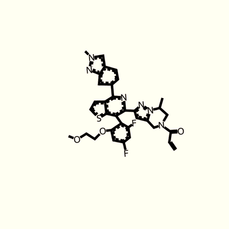 C=CC(=O)N1Cc2cc(-c3nc(-c4ccc5cn(C)nc5c4)c4ccsc4c3-c3c(F)cc(F)cc3OCCOC)nn2C(C)C1